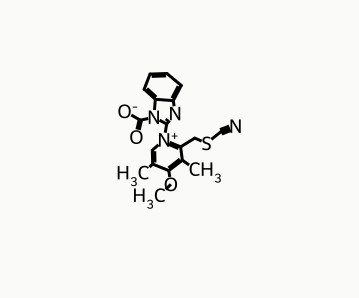 COc1c(C)c[n+](-c2nc3ccccc3n2C(=O)[O-])c(CSC#N)c1C